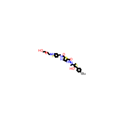 C/C(=N\NC(=O)c1ccc(C(=O)NCc2ccc(SNCCOCCO)cc2)s1)c1csc(-c2ccc(C(C)(C)C)cc2)c1O